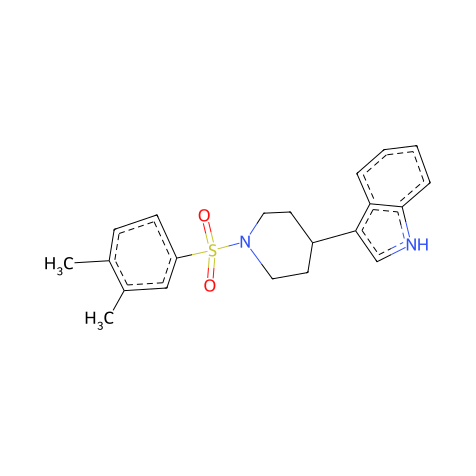 Cc1ccc(S(=O)(=O)N2CCC(c3c[nH]c4ccccc34)CC2)cc1C